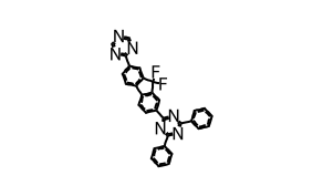 FC1(F)c2cc(-c3ncncn3)ccc2-c2ccc(-c3nc(-c4ccccc4)nc(-c4ccccc4)n3)cc21